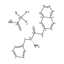 N[C@H](Cc1ccccc1)C(=O)Sc1ccc2ccccc2c1.O=C(O)C(F)(F)F